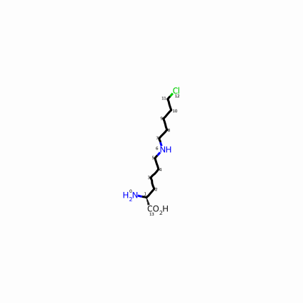 N[C@@H](CCCCNCCCCCCl)C(=O)O